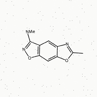 CNc1noc2cc3oc(C)nc3cc12